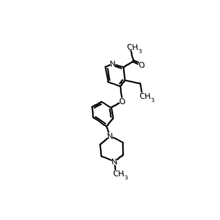 CCc1c(Oc2cccc(N3CCN(C)CC3)c2)ccnc1C(C)=O